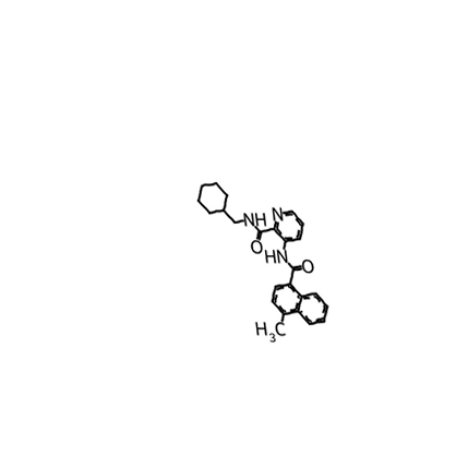 Cc1ccc(C(=O)Nc2cccnc2C(=O)NCC2CCCCC2)c2ccccc12